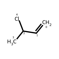 C=CC(C)Cl